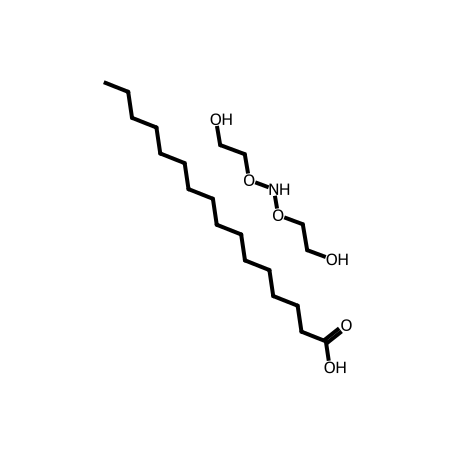 CCCCCCCCCCCCCCCC(=O)O.OCCONOCCO